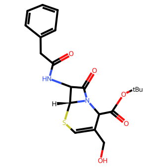 CC(C)(C)OC(=O)C1C(CO)=CS[C@@H]2C(NC(=O)Cc3ccccc3)C(=O)N12